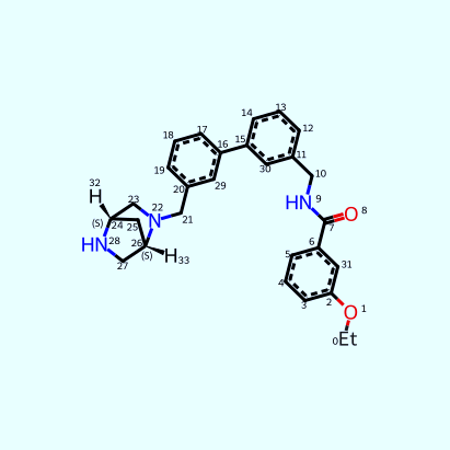 CCOc1cccc(C(=O)NCc2cccc(-c3cccc(CN4C[C@@H]5C[C@H]4CN5)c3)c2)c1